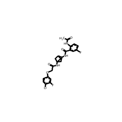 CC(=O)Nc1ccc(F)cc1C(=O)NC1CC2(NC(=O)COc3ccc(Cl)c(F)c3)CC1C2